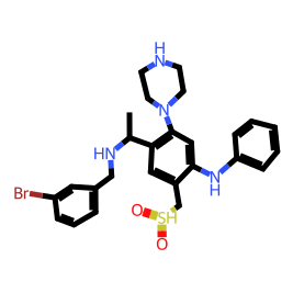 CC(NCc1cccc(Br)c1)c1cc(C[SH](=O)=O)c(Nc2ccccc2)cc1N1CCNCC1